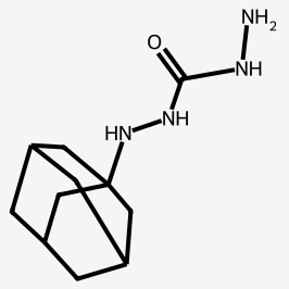 NNC(=O)NNC12CC3CC(CC(C3)C1)C2